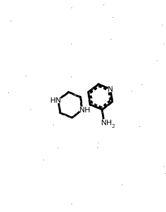 C1CNCCN1.Nc1cccnc1